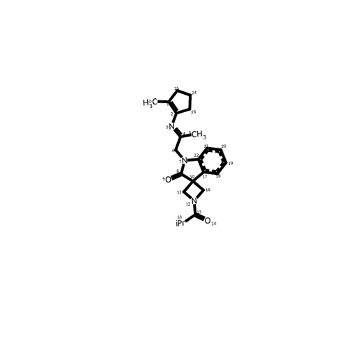 CC1=C(/N=C(\C)CN2C(=O)C3(CN(C(=O)C(C)C)C3)c3ccccc32)CCC1